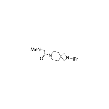 CNCC(=O)N1CCC2(CC1)CN(C(C)C)C2